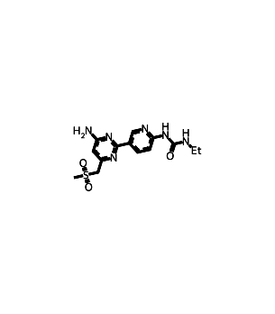 CCNC(=O)Nc1ccc(-c2nc(N)cc(CS(C)(=O)=O)n2)cn1